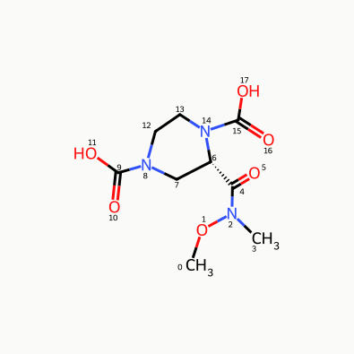 CON(C)C(=O)[C@@H]1CN(C(=O)O)CCN1C(=O)O